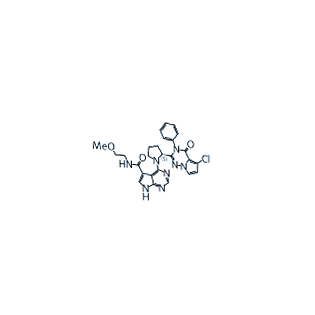 COCCNC(=O)c1c[nH]c2ncnc(N3CCC[C@H]3c3nn4ccc(Cl)c4c(=O)n3-c3ccccc3)c12